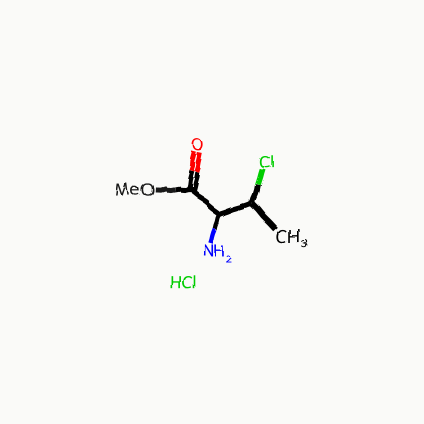 COC(=O)C(N)C(C)Cl.Cl